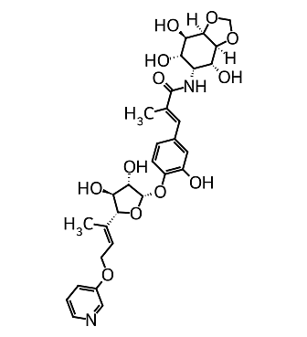 CC(=Cc1ccc(O[C@@H]2O[C@H](C(C)=CCOc3cccnc3)[C@@H](O)[C@@H]2O)c(O)c1)C(=O)N[C@@H]1[C@H](O)[C@@H](O)[C@H]2OCO[C@H]2[C@@H]1O